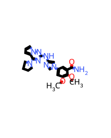 COc1cc(-n2cnc(Nc3nc(N4CCCC4)c4cccn4n3)c2)cc(C(N)=O)c1OC